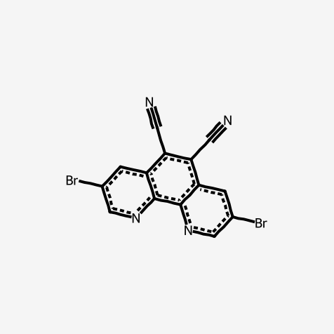 N#Cc1c(C#N)c2cc(Br)cnc2c2ncc(Br)cc12